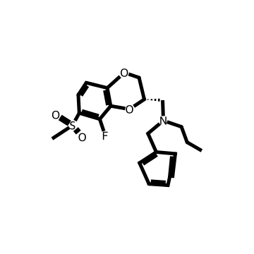 CCCN(Cc1ccccc1)C[C@H]1COc2ccc(S(C)(=O)=O)c(F)c2O1